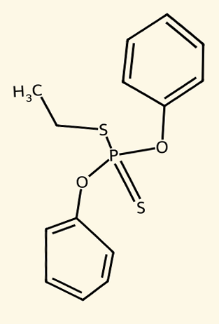 CCSP(=S)(Oc1ccccc1)Oc1ccccc1